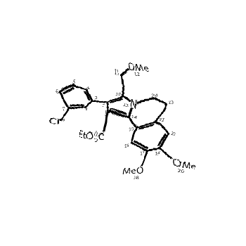 CCOC(=O)c1c(-c2cccc(Cl)c2)c(COC)n2c1-c1cc(OC)c(OC)cc1CC2